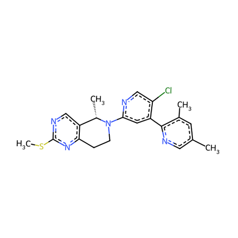 CSc1ncc2c(n1)CCN(c1cc(-c3ncc(C)cc3C)c(Cl)cn1)[C@H]2C